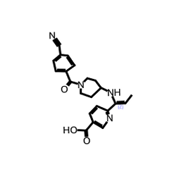 C/C=C(\NC1CCN(C(=O)c2ccc(C#N)cc2)CC1)c1ccc(C(=O)O)cn1